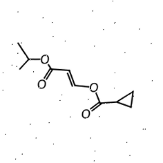 CC(C)OC(=O)C=COC(=O)C1CC1